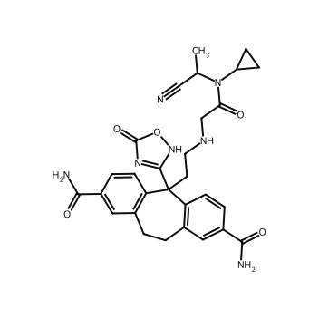 CC(C#N)N(C(=O)CNCCC1(c2nc(=O)o[nH]2)c2ccc(C(N)=O)cc2CCc2cc(C(N)=O)ccc21)C1CC1